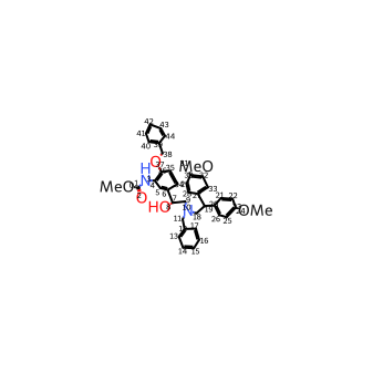 COC(=O)Nc1cc(C(O)CN(Cc2ccccc2)CC(c2ccc(OC)cc2)c2ccc(OC)cc2)ccc1OCc1ccccc1